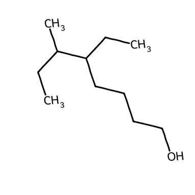 CCC(C)C(CC)CCCCO